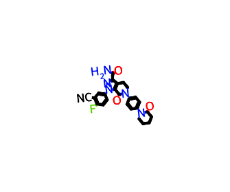 N#Cc1cc(-n2nc(C(N)=O)c3c2C(=O)N(c2ccc(N4CCCCC4=O)cc2)CC3)ccc1F